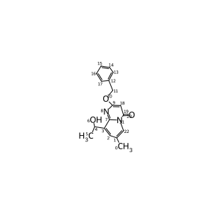 Cc1cc(C(C)O)c2nc(OCc3ccccc3)cc(=O)n2c1